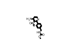 COC(=O)NCc1ccc(-c2nccc(N)c2[N+](=O)[O-])cc1